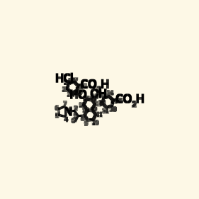 CC(CN1CCCC1)c1cccc2cc(O)c(O)cc12.Cl.O=C(O)c1ccccc1.O=C(O)c1ccccc1